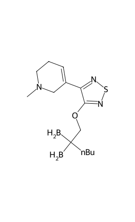 BC(B)(CCCC)COc1nsnc1C1=CCCN(C)C1